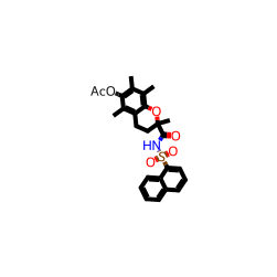 CC(=O)Oc1c(C)c(C)c2c(c1C)CCC(C)(C(=O)NS(=O)(=O)c1cccc3ccccc13)O2